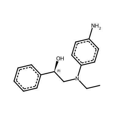 CCN(C[C@H](O)c1ccccc1)c1ccc(N)cc1